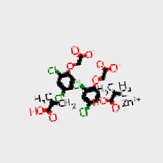 C=C(C)C(=O)O.C=C(C)C(=O)O.O=C([O-])COc1ccc(Cl)cc1Cl.O=C([O-])COc1ccc(Cl)cc1Cl.[Zn+2]